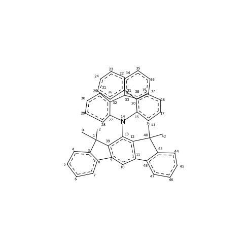 CC1(C)c2ccccc2-c2cc3c(c(N(c4ccccc4-c4ccccc4)c4ccccc4-c4ccccc4)c21)C(C)(C)c1ccccc1-3